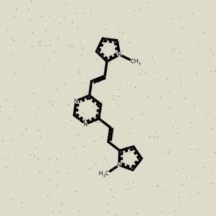 Cn1cccc1C=Cc1cc(C=Cc2cccn2C)ncn1